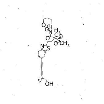 CC(CCc1nc2ccc(C#CC#CC3(CO)CC3)cc2s1)(C(=O)NOC1CCCCO1)S(C)(=O)=O